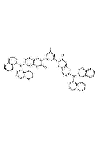 Cc1cc(-c2cc3ccc(N(c4cnc5ccccc5c4)c4cccc5ccccc45)cc3oc2=O)cc(-c2cc3ccc(N(c4cccc5ccccc45)c4cncc5ccccc45)cc3oc2=O)c1